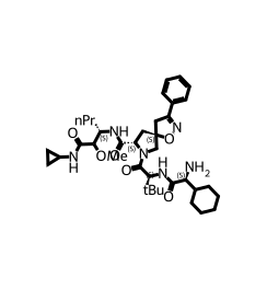 CCC[C@H](NC(=O)[C@@H]1C[C@]2(CC(c3ccccc3)=NO2)CN1C(=O)[C@@H](NC(=O)[C@@H](N)C1CCCCC1)C(C)(C)C)C(OC)C(=O)NC1CC1